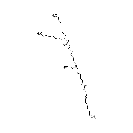 CCCCCCC#CCOC(=O)OCCCCCN(CCO)CCCCCCCC(=O)OC(CCCCCCCC)CCCCCCCC